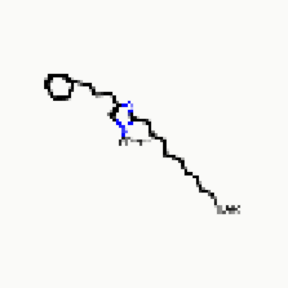 CCCCCCCCCCCCCCCCCCCc1nc(CCCc2ccccc2)cn1CCCCC